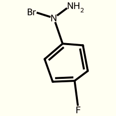 NN(Br)c1ccc(F)cc1